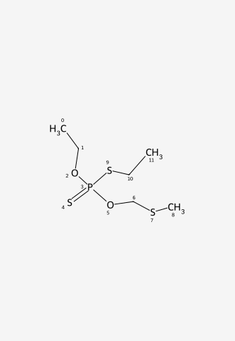 CCOP(=S)(OCSC)SCC